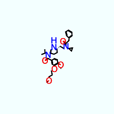 COCCCOc1cc(C(=O)N(C(C)C)[C@@H]2CC[C@@H](CCN(C(=O)Cc3ccccc3)C3CC3)NC2)ccc1OC